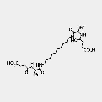 CC(C)C(NC(=O)CCC(=O)O)C(=O)NCCCCCCCCCCNC(=O)C(NC(=O)CCC(=O)O)C(C)C